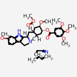 C=CC#N.C=CC=C.COC(=O)[C@H]1[C@H]2C[C@@H]3c4[nH]c5cc(OC)ccc5c4CCN3C[C@H]2C[C@@H](OC(=O)c2cc(OC)c(OC)c(OC)c2)[C@@H]1OC